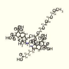 CC[N+]1=C(/C=C(C)/C=C2/N(CCCCCC(=O)O)c3ccc4c(S(=O)(=O)O)cc(S(=O)(=O)O)cc4c3C2(C)CCOCCOCCOCCOCCOCCOC)C(C)(C)c2c1ccc1c(S(=O)(=O)O)cc(S(=O)(=O)O)cc21